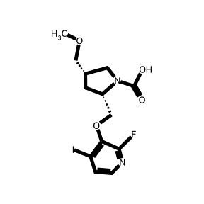 COC[C@H]1C[C@@H](COc2c(I)ccnc2F)N(C(=O)O)C1